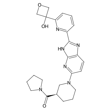 O=C([C@@H]1CCCN(c2ccc3nc(-c4cccc(C5(O)COC5)n4)[nH]c3n2)C1)N1CCCC1